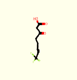 O=C(O)CC(=O)CCC=CC(F)(F)F